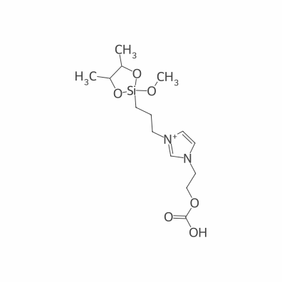 CO[Si]1(CCC[n+]2ccn(CCOC(=O)O)c2)OC(C)C(C)O1